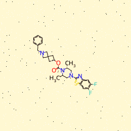 C[C@@H]1CN(c2nc3cc(F)c(F)cc3s2)C[C@@H](C)N1C(=O)OC1CC2(C1)CN(Cc1ccccc1)C2